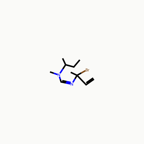 C=CC(C)(Br)/N=C\N(C)C(C)CC